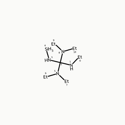 CCNC(N[SiH3])(N(CC)CC)N(CC)CC